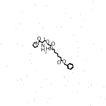 C[C@@H](OCC(=O)NCCCCCC(=O)OCc1ccccc1)[C@H](N)C(=O)N1CCCC1